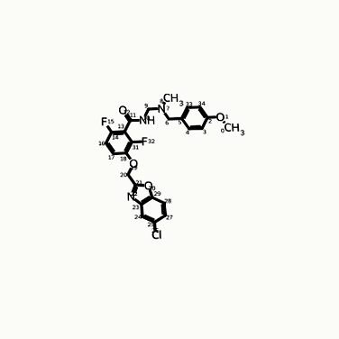 COc1ccc(CN(C)CNC(=O)c2c(F)ccc(OCc3nc4cc(Cl)ccc4o3)c2F)cc1